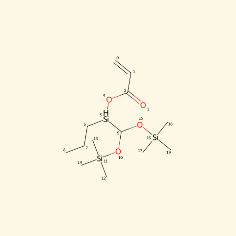 C=CC(=O)O[SiH](CCC)C(O[Si](C)(C)C)O[Si](C)(C)C